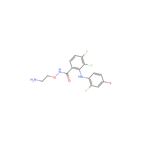 NCCONC(=O)c1ccc(F)c(F)c1Nc1ccc(I)cc1F